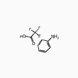 Nc1ccccc1.O=C(O)C(F)(F)F